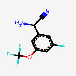 N#CC(N)c1cc(F)cc(OC(F)(F)F)c1